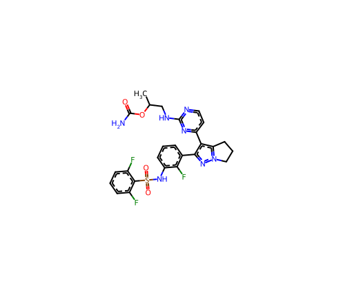 CC(CNc1nccc(-c2c(-c3cccc(NS(=O)(=O)c4c(F)cccc4F)c3F)nn3c2CCC3)n1)OC(N)=O